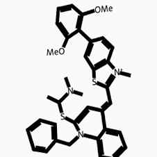 COc1cccc(OC)c1-c1ccc2c(c1)sc(C=C1C=C(SC(C)N(C)C)N(Cc3ccccc3)c3ccccc31)[n+]2C